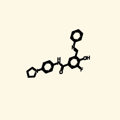 O=C(Nc1ccc(N2CCCC2)cc1)c1cc(F)c(O)c(C=Nc2ccccc2)c1